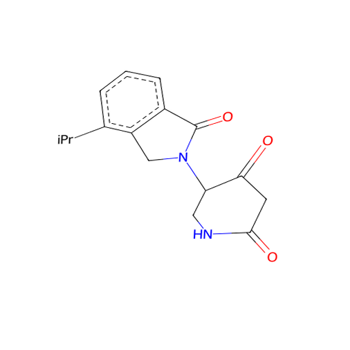 CC(C)c1cccc2c1CN(C1CNC(=O)CC1=O)C2=O